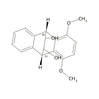 COc1ccc(OC)c2c1[C@H]1c3ccccc3[C@@H]2C(O)C1O